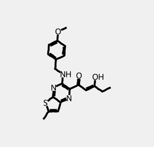 CCC(O)=CC(=O)c1nc2cc(C)sc2nc1NCc1ccc(OC)cc1